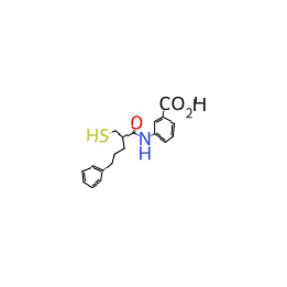 O=C(O)c1cccc(NC(=O)C(CS)CCCc2ccccc2)c1